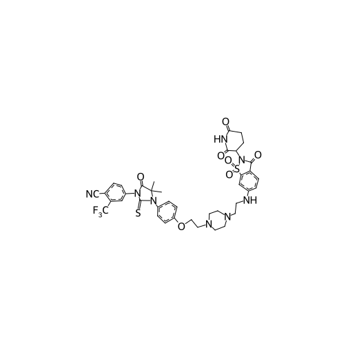 CC1(C)C(=O)N(c2ccc(C#N)c(C(F)(F)F)c2)C(=S)N1c1ccc(OCCN2CCN(CCNc3ccc4c(c3)S(=O)(=O)N(C3CCC(=O)NC3=O)C4=O)CC2)cc1